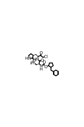 CC(C)C[C@H](NC(=O)OC1CCCC1CC1=CCC=CC1)C(=O)N[C@@H](C[C@@H]1CCNC1=O)C(=O)CCl